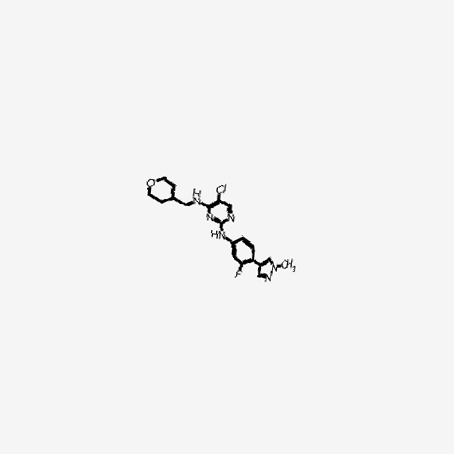 Cn1cc(-c2ccc(Nc3ncc(Cl)c(NCC4CCOCC4)n3)cc2F)cn1